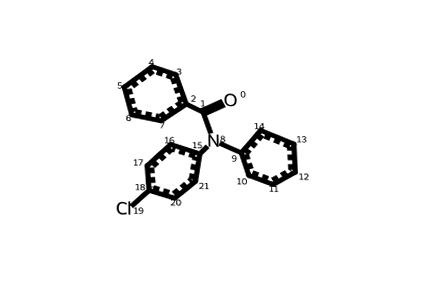 O=C(c1ccccc1)N(c1ccccc1)c1ccc(Cl)cc1